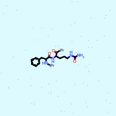 CC(C)NC(Cc1ccccc1)C(=O)NC(CCCNC(N)=O)C(=O)C(C)C